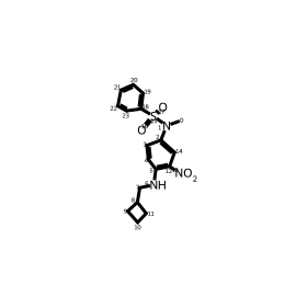 CN(c1ccc(NCC2CCC2)c([N+](=O)[O-])c1)S(=O)(=O)c1ccccc1